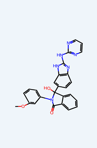 COc1cccc(N2C(=O)c3ccccc3C2(O)c2ccc3nc(Nc4ncccn4)[nH]c3c2)c1